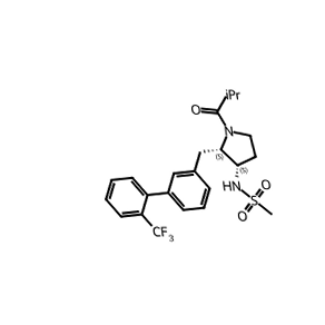 CC(C)C(=O)N1CC[C@H](NS(C)(=O)=O)[C@@H]1Cc1cccc(-c2ccccc2C(F)(F)F)c1